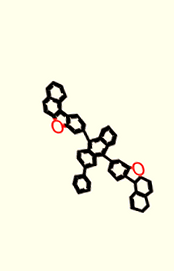 C1=CC2=C(C=CC3Oc4cc(-c5c6ccccc6c(-c6ccc7c(c6)oc6ccc8ccccc8c67)c6ccc(-c7ccccc7)cc56)ccc4C23)CC1